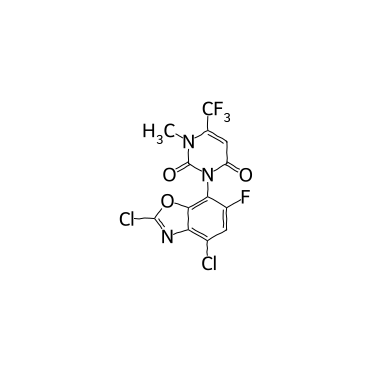 Cn1c(C(F)(F)F)cc(=O)n(-c2c(F)cc(Cl)c3nc(Cl)oc23)c1=O